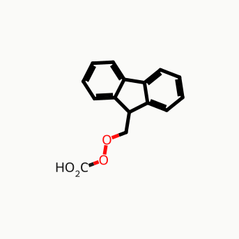 O=C(O)OOCC1c2ccccc2-c2ccccc21